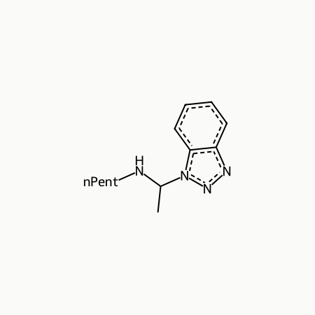 CCCCCNC(C)n1nnc2ccccc21